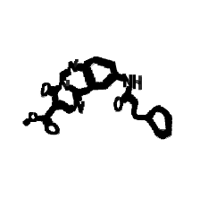 COC(=O)c1cnc2c3cc(NC(=O)CCC4CCCC4)ccc3ncn2c1=O